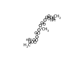 C=CC(=O)OC(CCC)OC(=O)Oc1ccc(C(=O)Oc2ccc3c(c2)C(C)c2cc(OC(=O)c4ccc(OC(=O)OC(CCC)OC(=O)C=C)cc4)ccc2-3)cc1